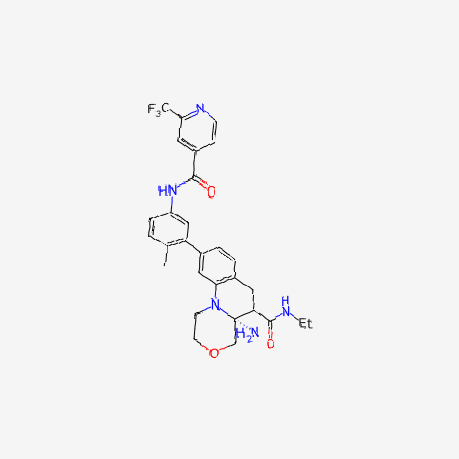 CCNC(=O)C1Cc2ccc(-c3cc(NC(=O)c4ccnc(C(F)(F)F)c4)ccc3C)cc2N2CCOC[C@]12N